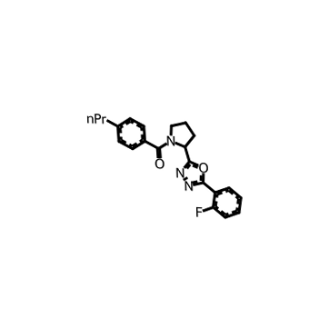 CCCc1ccc(C(=O)N2CCCC2c2nnc(-c3ccccc3F)o2)cc1